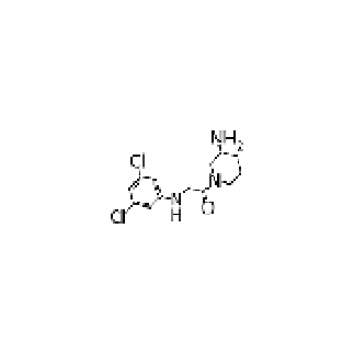 NC1CCCN(C(=O)CNc2cc(Cl)cc(Cl)c2)C1